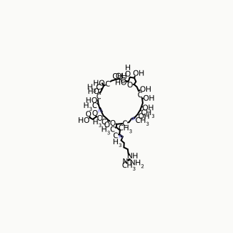 CN=C(N)NCCCCC/C=C(\C)CC(C)C1OC(=O)C(C)C(OC(=O)CC(=O)O)/C=C/C(C)C(O)CC(O)C(C)C(O)CCC(C)C(O)CC2(O)OC(CC(O)CC(O)CC(O)C(C)C(O)/C(C)=C/CCC1C)CC(O)C2O